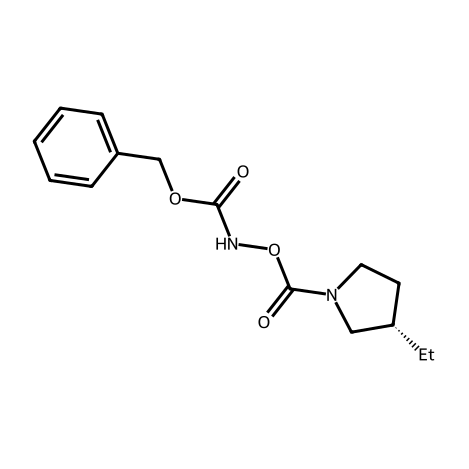 CC[C@H]1CCN(C(=O)ONC(=O)OCc2ccccc2)C1